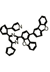 c1ccc(-c2cc(-c3ccccc3-c3ccncc3)nc(-c3ccc(-c4ccc5oc6ccccc6c5c4)c4c3oc3ccccc34)n2)cc1